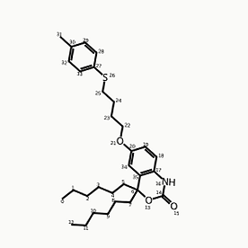 CCCCCCC1(CCCCCC)OC(=O)Nc2ccc(OCCCCSc3ccc(C)cc3)cc21